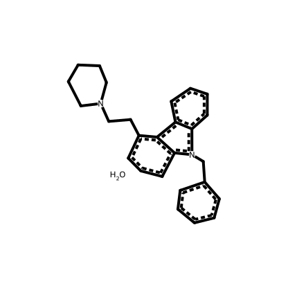 O.c1ccc(Cn2c3ccccc3c3c(CCN4CCCCC4)cccc32)cc1